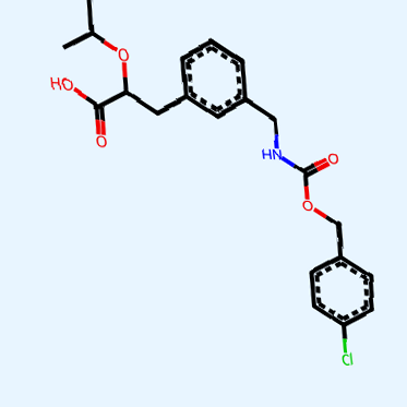 CC(C)OC(Cc1cccc(CNC(=O)OCc2ccc(Cl)cc2)c1)C(=O)O